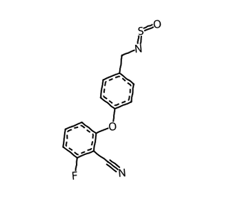 N#Cc1c(F)cccc1Oc1ccc(CN=S=O)cc1